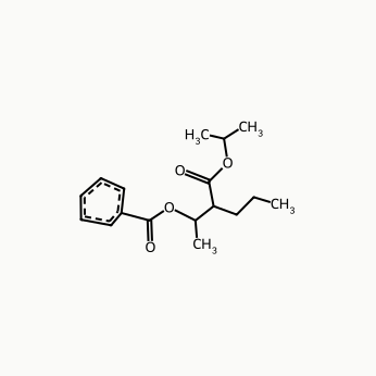 CCCC(C(=O)OC(C)C)C(C)OC(=O)c1ccccc1